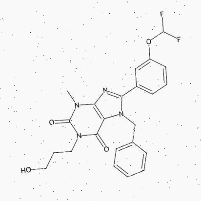 Cn1c(=O)n(CCCO)c(=O)c2c1nc(-c1cccc(OC(F)F)c1)n2Cc1ccccc1